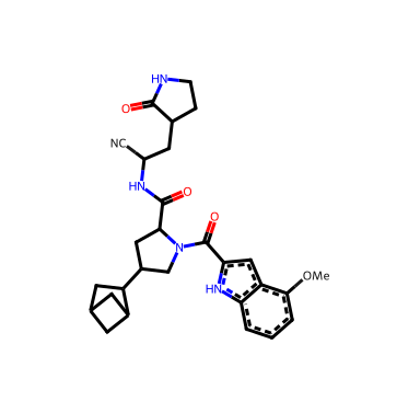 COc1cccc2[nH]c(C(=O)N3CC(C4CC5CC4C5)CC3C(=O)NC(C#N)CC3CCNC3=O)cc12